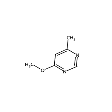 COc1cc(C)n[c]n1